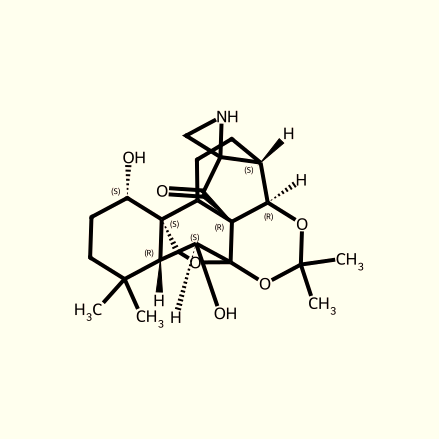 CC1(C)O[C@@H]2[C@H]3CCC4[C@@]56COC(O1)([C@@H](O)[C@@H]5C(C)(C)CC[C@@H]6O)[C@]42C(=O)C31CN1